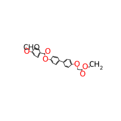 C=COC(=O)COc1ccc(-c2ccc(OC(=O)c3ccc(OC=O)cc3)cc2)cc1